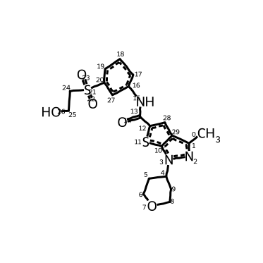 Cc1nn(C2CCOCC2)c2sc(C(=O)Nc3cccc(S(=O)(=O)CCO)c3)cc12